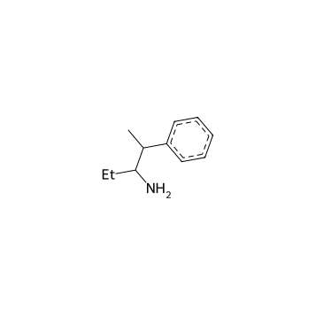 CCC(N)C(C)c1ccccc1